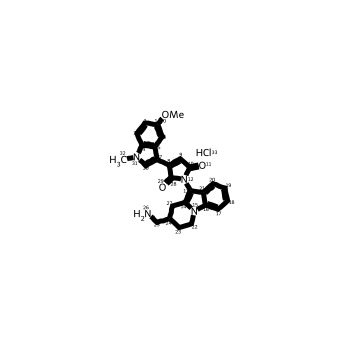 COc1ccc2c(c1)c(C1=CC(=O)N(c3c4n(c5ccccc35)CCC(CN)C4)C1=O)cn2C.Cl